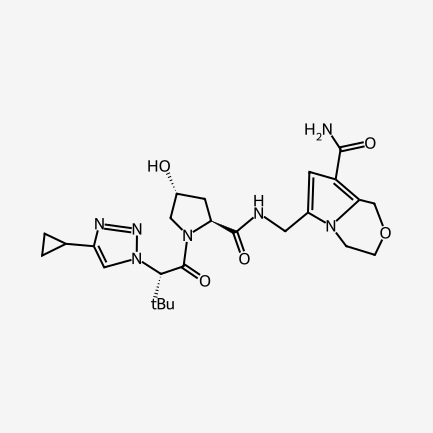 CC(C)(C)[C@@H](C(=O)N1C[C@H](O)C[C@H]1C(=O)NCc1cc(C(N)=O)c2n1CCOC2)n1cc(C2CC2)nn1